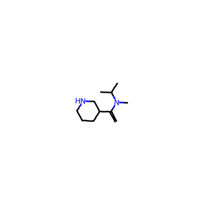 C=C(C1CCCNC1)N(C)C(C)C